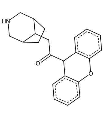 O=C(CC1C2CCC1CNC2)C1c2ccccc2Oc2ccccc21